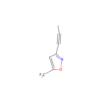 [CH2]C#Cc1cc(C(F)(F)F)on1